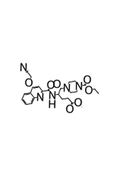 CCOC(=O)N1CCN(C(=O)C(CCC(=O)OC)NC(=O)c2cc(OCC#N)c3ccccc3n2)CC1